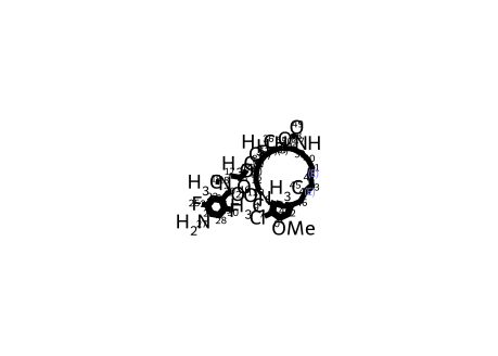 COc1cc2cc(c1Cl)N(C)C(=O)C[C@H](OC(=O)CN(C)C(=O)c1cc(F)c(N)cc1F)[C@]1(C)O[C@H]1[C@H](C)[C@@H]1CC(C/C=C/C=C(\C)C2)NC(=O)O1